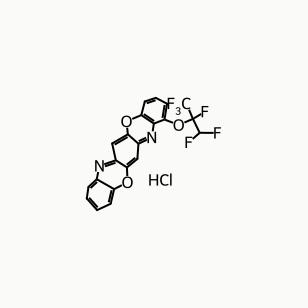 Cl.FC(F)C(F)(Oc1cccc2c1N=c1cc3c(cc1O2)=Nc1ccccc1O3)C(F)(F)F